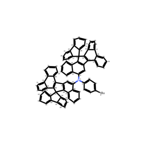 CC(C)(C)c1ccc(N(c2cc3c(c4ccccc24)C2(c4ccccc4-c4ccccc42)c2c-3c3ccccc3c3ccccc23)c2cc3c(c4ccccc24)C2(c4ccccc4-c4ccccc42)c2c-3c3ccccc3c3ccccc23)cc1